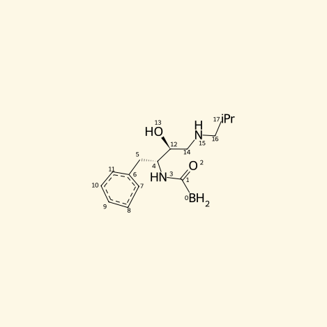 BC(=O)N[C@H](Cc1ccccc1)[C@@H](O)CNCC(C)C